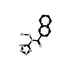 CC(C)ON(C(=O)c1ccc2ccccc2c1)c1nnn[nH]1